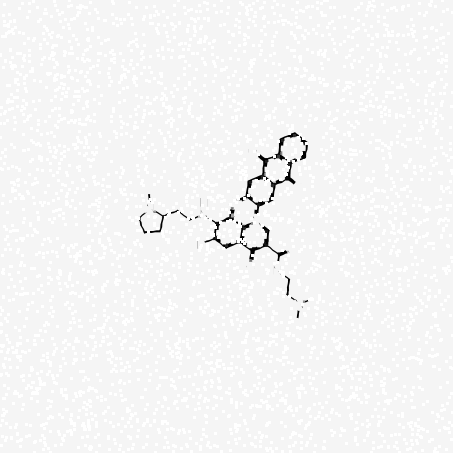 CN(C)CCNC(=O)c1cn2c3cc4c(=O)c5ccccc5c(=O)c4cc3oc3c(NCCC4CCCN4C)c(F)cc(c1=O)c32